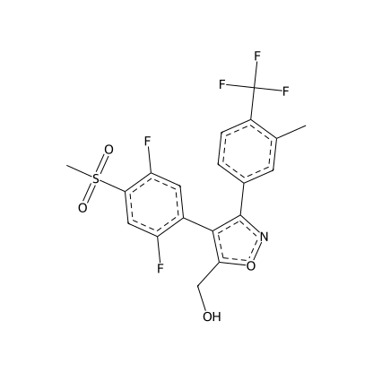 Cc1cc(-c2noc(CO)c2-c2cc(F)c(S(C)(=O)=O)cc2F)ccc1C(F)(F)F